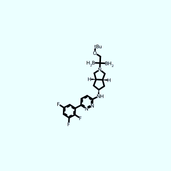 BC(B)(COC(C)(C)C)N1C[C@H]2C[C@H](Nc3ccc(-c4cc(F)cc(F)c4F)nn3)C[C@H]2C1